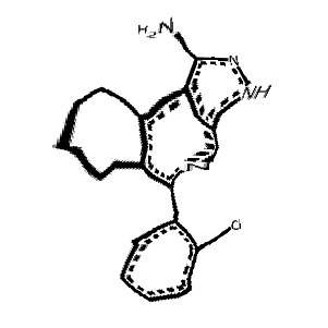 Nc1n[nH]c2nc(-c3ccccc3Cl)c3c(c12)CCCC3